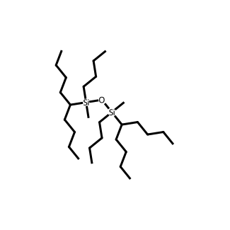 CCCCC(CCCC)[Si](C)(CCCC)O[Si](C)(CCCC)C(CCCC)CCCC